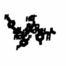 Cc1ccc(NC(=O)OC(C)C2=NN(C[C@](O)(c3cc(F)ccc3F)[C@@H](C)c3nc(-c4ccc(C#N)cc4)cs3)C=[N+]2)c(CNC(C)C)c1.Cl.[Cl-]